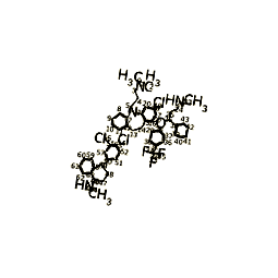 CN(C)CCCN1c2ccccc2CCc2ccc(Cl)cc21.CNCCC(Oc1ccc(C(F)(F)F)cc1)c1ccccc1.CN[C@H]1CC[C@@H](c2ccc(Cl)c(Cl)c2)c2ccccc21